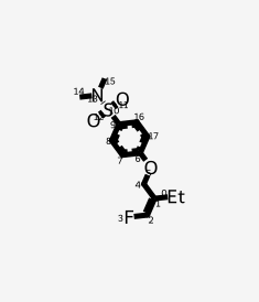 CC/C(=C/F)COc1ccc(S(=O)(=O)N(C)C)cc1